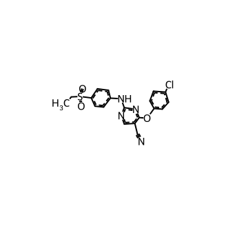 CCS(=O)(=O)c1ccc(Nc2ncc(C#N)c(Oc3ccc(Cl)cc3)n2)cc1